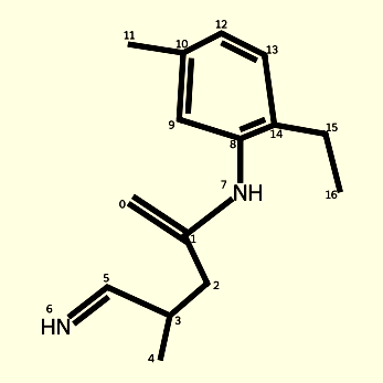 C=C(CC(C)C=N)Nc1cc(C)ccc1CC